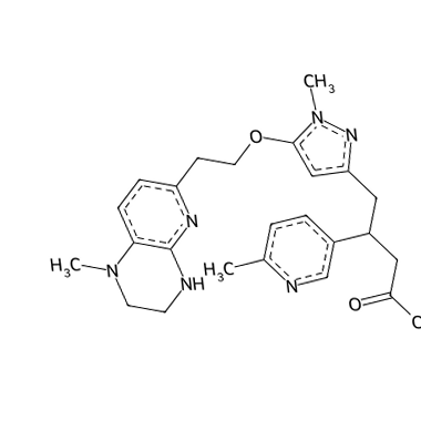 Cc1ccc(C(CC(=O)O)Cc2cc(OCCc3ccc4c(n3)NCCN4C)n(C)n2)cn1